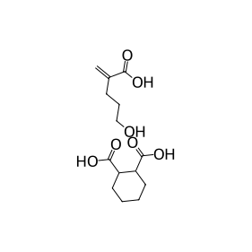 C=C(CCCO)C(=O)O.O=C(O)C1CCCCC1C(=O)O